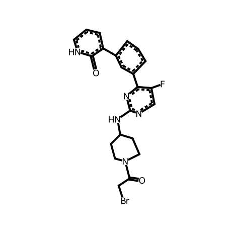 O=C(CBr)N1CCC(Nc2ncc(F)c(-c3cccc(-c4ccc[nH]c4=O)c3)n2)CC1